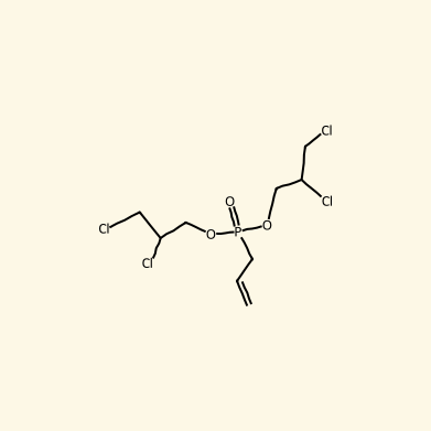 C=CCP(=O)(OCC(Cl)CCl)OCC(Cl)CCl